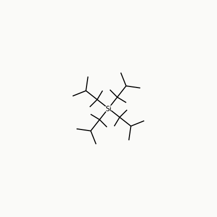 CC(C)C(C)(C)[Si](C(C)(C)C(C)C)(C(C)(C)C(C)C)C(C)(C)C(C)C